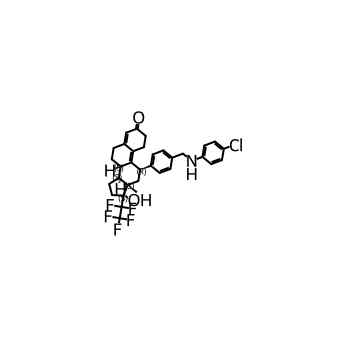 C[C@]12C[C@H](c3ccc(CNc4ccc(Cl)cc4)cc3)C3=C4CCC(=O)C=C4CC[C@H]3[C@@H]1CC[C@@]2(O)C(F)(F)C(F)(F)F